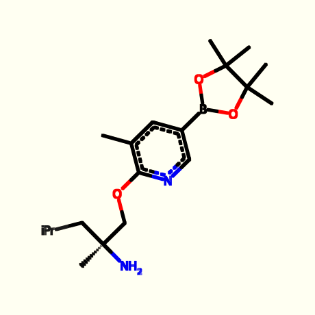 Cc1cc(B2OC(C)(C)C(C)(C)O2)cnc1OC[C@@](C)(N)CC(C)C